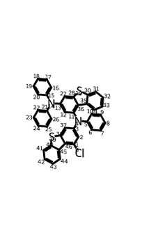 Clc1cc(N(c2ccccc2)c2cc(N(c3ccccc3)c3ccccc3)cc3sc4ccccc4c23)cc2sc3ccccc3c12